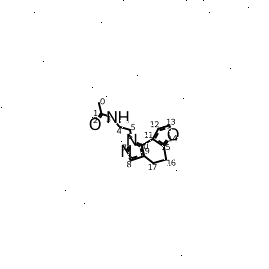 CC(=O)NCCn1ncc2c1-c1ccoc1CC2